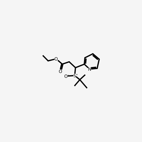 CCOC(=O)CC(c1ccccn1)[S+]([O-])C(C)(C)C